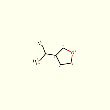 C[C](C#N)C1CCOC1